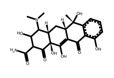 CN(C)C1C(O)C(C(N)=O)C(=O)[C@@]2(O)C(O)=C3C(=O)c4c(O)cccc4[C@@](C)(O)[C@H]3C[C@@H]12